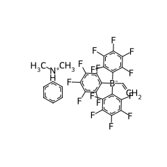 C=C[B-](c1c(F)c(F)c(F)c(F)c1F)(c1c(F)c(F)c(F)c(F)c1F)c1c(F)c(F)c(F)c(F)c1F.C[NH+](C)c1ccccc1